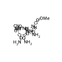 COCCOc1ccc(-c2nc(C)c(C(=O)NC(CCN)C(=O)N(C)C3C(=O)NC(C)C(=O)NC(C(=O)NCC#N)Cc4ccc(OCCN)c(c4)-c4cc3ccc4OCCN)c(C)n2)cc1